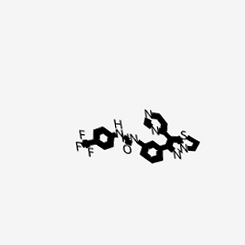 O=C(Nc1ccc(C(F)(F)F)cc1)Nc1cccc(-c2nn3c(c2-c2ccncn2)SCC3)c1